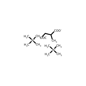 CC(CC(=O)[O-])C(=O)[O-].C[N+](C)(C)C.C[N+](C)(C)C